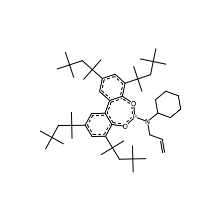 C=CCN(C1CCCCC1)p1oc2c(C(C)(C)CC(C)(C)C)cc(C(C)(C)CC(C)(C)C)cc2c2cc(C(C)(C)CC(C)(C)C)cc(C(C)(C)CC(C)(C)C)c2o1